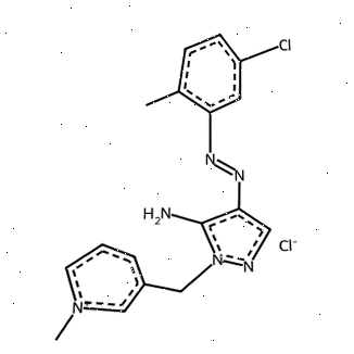 Cc1ccc(Cl)cc1N=Nc1cnn(Cc2ccc[n+](C)c2)c1N.[Cl-]